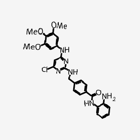 COc1cc(Nc2cc(Cl)nc(NCc3ccc(C(=O)Nc4ccccc4N)cc3)n2)cc(OC)c1OC